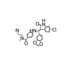 CN(C)CCN(C)C(=O)c1ccc(N/C(=C2\C(=O)Nc3cc(Cl)ccc32)c2ccc3c(c2)OC=CO3)cc1